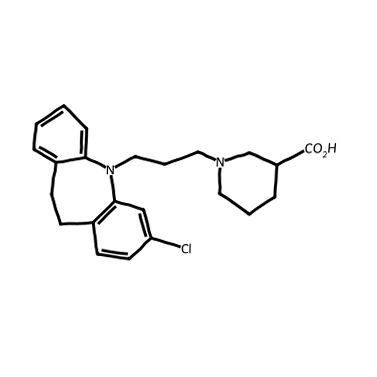 O=C(O)C1CCCN(CCCN2c3ccccc3CCc3ccc(Cl)cc32)C1